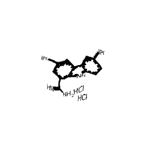 CC(C)c1ccc2[nH]c3c(C(=N)N)cc(C(C)C)cc3c2c1.Cl.Cl